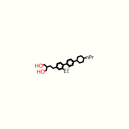 CCCC1CCC(c2ccc(-c3ccc(CCC(CO)CO)cc3CC)c(F)c2)CC1